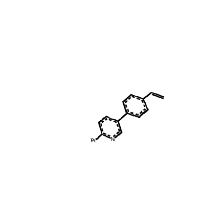 C=Cc1ccc(-c2ccc(C(C)C)nc2)cc1